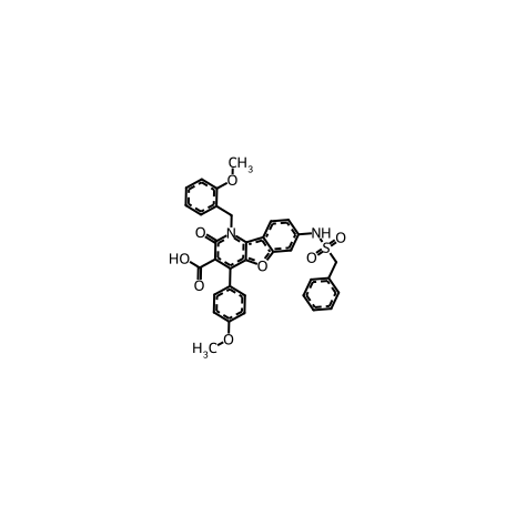 COc1ccc(-c2c(C(=O)O)c(=O)n(Cc3ccccc3OC)c3c2oc2cc(NS(=O)(=O)Cc4ccccc4)ccc23)cc1